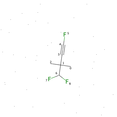 CC(C)(C#CF)C(F)F